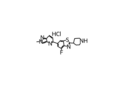 Cl.Cn1cc2nc(-c3cc(F)c4nc(C5CCNCC5)sc4c3)ccc2n1